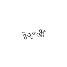 O=C(NC1CC1)c1cc(-c2cc(-c3ccc(C(=O)N4CCCCC4)cc3Cl)cs2)ccn1